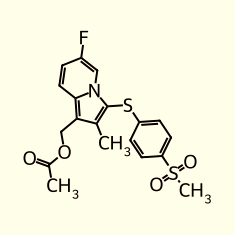 CC(=O)OCc1c(C)c(Sc2ccc(S(C)(=O)=O)cc2)n2cc(F)ccc12